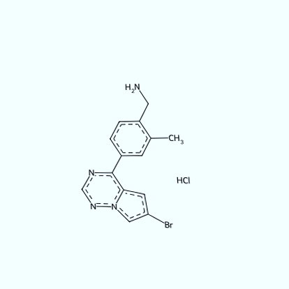 Cc1cc(-c2ncnn3cc(Br)cc23)ccc1CN.Cl